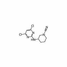 N#CN1CCCC(Nc2nc(Cl)cc(Cl)n2)C1